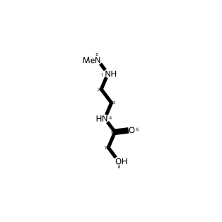 CNNCCNC(=O)CO